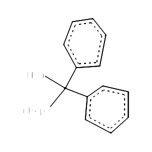 CCCCCCCC([SiH3])(c1ccccc1)c1ccccc1